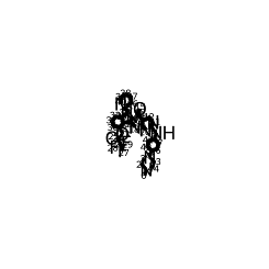 CN1CCN(c2ccc(Nc3ncc4c(=O)n5c(nc4n3)c3c(OC(=O)C(F)(F)F)cccc3n5-c3ccccn3)cc2)CC1